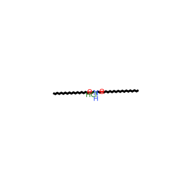 CCCCCCCCCCCCCCCCCCOCCNCCOCCCCCCCCCCCCCCCCCC.Cl